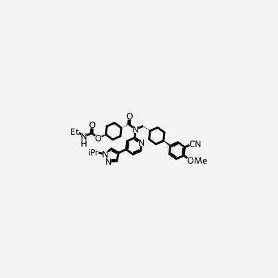 CCNC(=O)O[C@H]1CC[C@H](C(=O)N(C[C@H]2CC[C@H](c3ccc(OC)c(C#N)c3)CC2)c2cc(-c3cnn(C(C)C)c3)ccn2)CC1